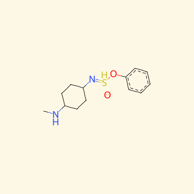 CNC1CCC(N=[SH](=O)Oc2ccccc2)CC1